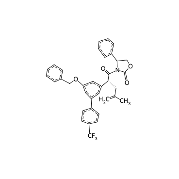 C=C(C)C[C@@H](C(=O)N1C(=O)OCC1c1ccccc1)c1cc(OCc2ccccc2)cc(-c2ccc(C(F)(F)F)cc2)c1